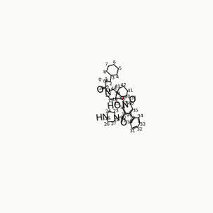 C[C@H](CC1CCCCC1)C(=O)N1CCC(O)(Cn2cc(C(=O)N3CCNCC3)c(-c3ccccc3)cc2=O)C2(CCCCC2)C1